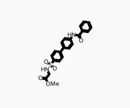 COC(=O)CNS(=O)(=O)c1ccc(-c2ccc(NC(=O)c3ccccc3)cc2)cc1